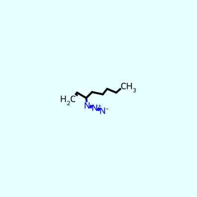 C=CC(CCCCC)N=[N+]=[N-]